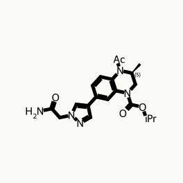 CC(=O)N1c2ccc(-c3cnn(CC(N)=O)c3)cc2N(C(=O)OC(C)C)C[C@@H]1C